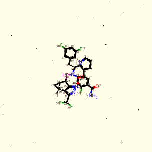 NC(=O)c1cc(-c2cccnc2[C@H](Cc2cc(F)cc(F)c2)N2PC3c4c(c(C(F)F)nn4CC2=O)[C@@H]2CC32)ccc1F